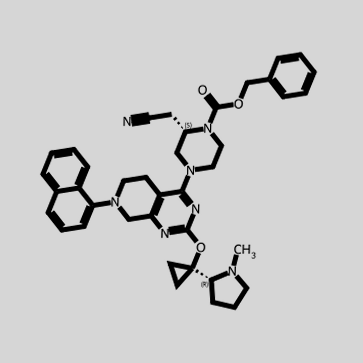 CN1CCC[C@@H]1C1(Oc2nc3c(c(N4CCN(C(=O)OCc5ccccc5)[C@@H](CC#N)C4)n2)CCN(c2cccc4ccccc24)C3)CC1